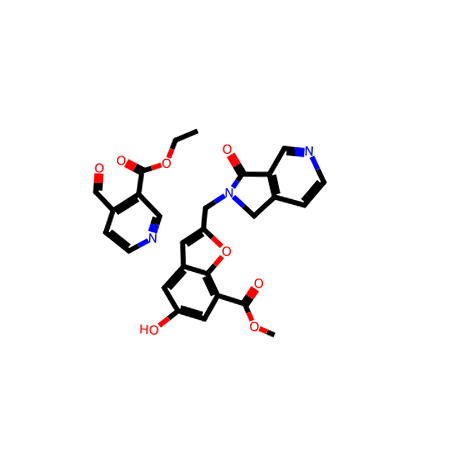 CCOC(=O)c1cnccc1C=O.COC(=O)c1cc(O)cc2cc(CN3Cc4ccncc4C3=O)oc12